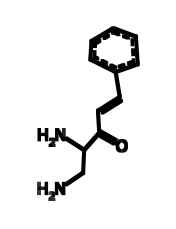 NCC(N)C(=O)C=Cc1ccccc1